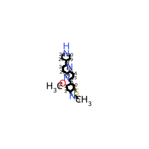 COc1cc2nc(C)sc2cc1-c1ccc2nc(C3CCNCC3)ccc2n1